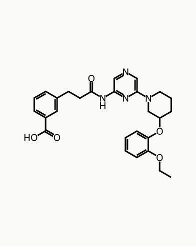 CCOc1ccccc1OC1CCCN(c2cncc(NC(=O)CCc3cccc(C(=O)O)c3)n2)C1